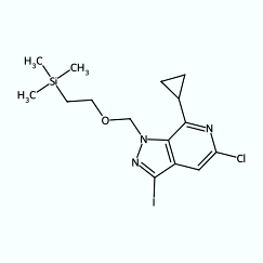 C[Si](C)(C)CCOCn1nc(I)c2cc(Cl)nc(C3CC3)c21